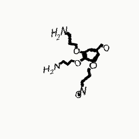 NCCCOc1cc(C=O)cc(OCCCN=O)c1OCCCN